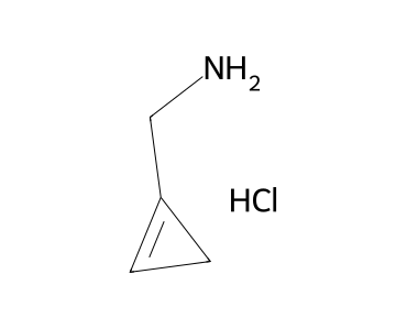 Cl.NCC1=CC1